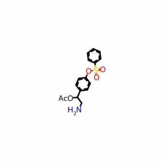 CC(=O)OC(CN)c1ccc(OS(=O)(=O)c2ccccc2)cc1